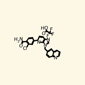 NC(=O)c1ccc(-c2ccc3ncn(Cc4ccc5ncccc5c4)c3n2)cc1Cl.O=C(O)C(F)(F)F